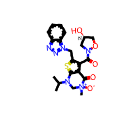 CC(C)N1C[N+](C)([O-])C(=O)c2c1sc(Cn1nnc3ccccc31)c2C(=O)N1C[C@H](O)CO1